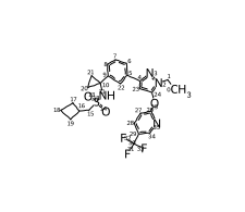 CCn1nc(-c2cccc(C3(NS(=O)(=O)CC4CCC4)CC3)c2)cc1Oc1ccc(C(F)(F)F)cn1